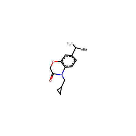 CCCCC(C)c1ccc2c(c1)OCC(=O)N2CC1CC1